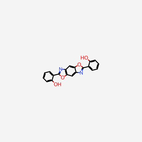 Oc1ccccc1-c1nc2cc3oc(-c4ccccc4O)nc3cc2o1